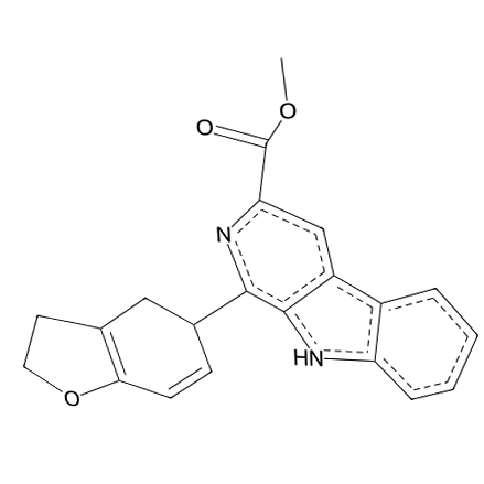 COC(=O)c1cc2c([nH]c3ccccc32)c(C2C=CC3=C(CCO3)C2)n1